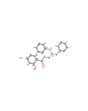 O=C(CCN(Cc1ccccc1)Cc1ccccc1)c1ccc(F)cc1I